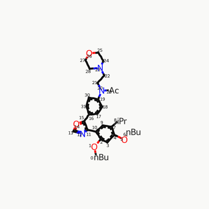 CCCCOc1cc(OCCCC)c(C(C)C)cc1-c1ncoc1-c1ccc(N(CCN2CCOCC2)C(C)=O)cc1